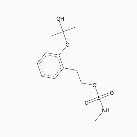 CNS(=O)(=O)OCCc1ccccc1OC(C)(C)O